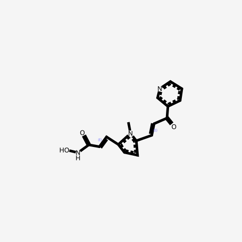 Cn1c(/C=C/C(=O)NO)ccc1/C=C/C(=O)c1cccnc1